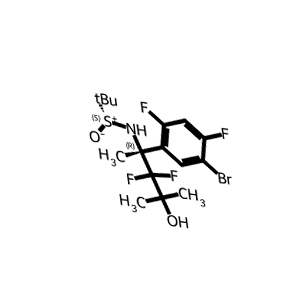 CC(C)(C)[S@@+]([O-])N[C@](C)(c1cc(Br)c(F)cc1F)C(F)(F)C(C)(C)O